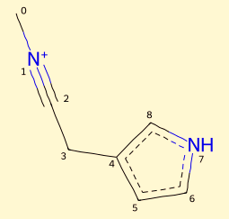 C[N+]#CCc1cc[nH]c1